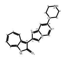 O=c1[nH]c2cccccc-2c1-c1cn2cnc(N3CCNCC3)cc2n1